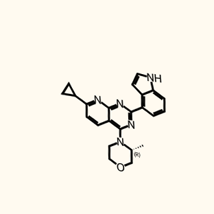 C[C@@H]1COCCN1c1nc(-c2cccc3[nH]ccc23)nc2nc(C3CC3)ccc12